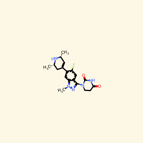 C[C@@H]1C=C(c2cc3c(cc2F)c(N2CCC(=O)NC2=O)nn3C)C[C@H](C)N1